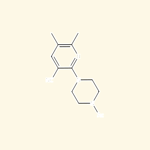 CC(=O)N1CCN(c2nc(C)c(C)cc2C#N)CC1